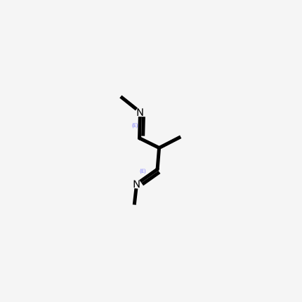 C/N=C/C(C)/C=N/C